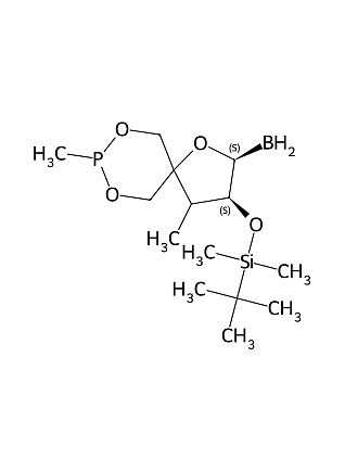 B[C@@H]1OC2(COP(C)OC2)C(C)[C@@H]1O[Si](C)(C)C(C)(C)C